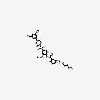 COc1cc(S(=O)(=O)N2CCN(c3cc(C(F)(F)F)cc(Cl)n3)CC2)ccc1NC(=O)c1cccc(CNCCCN)c1